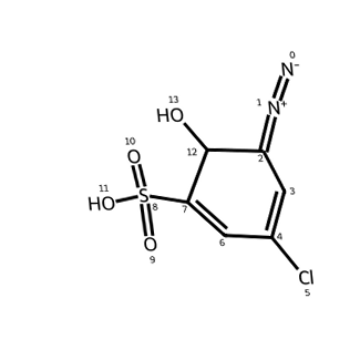 [N-]=[N+]=C1C=C(Cl)C=C(S(=O)(=O)O)C1O